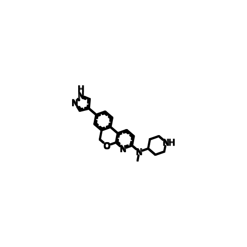 CN(c1ccc2c(n1)OCc1cc(-c3cn[nH]c3)ccc1-2)C1CCNCC1